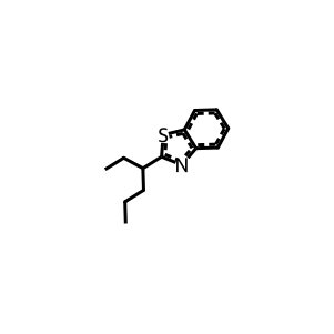 CCCC(CC)c1nc2ccccc2s1